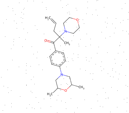 C=CCC(C)(C(=O)c1ccc(N2CC(C)OC(C)C2)cc1)N1CCOCC1